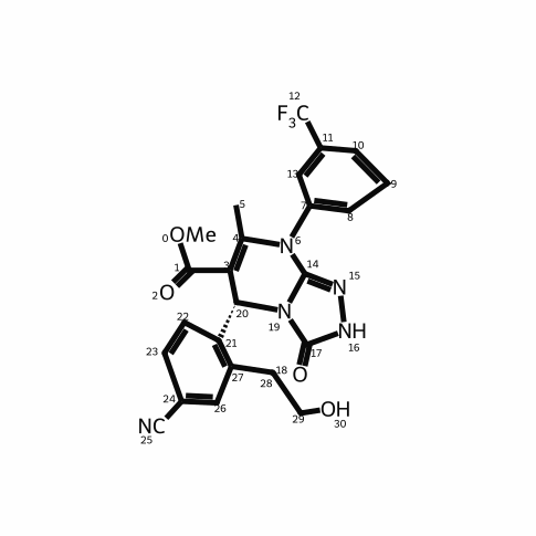 COC(=O)C1=C(C)N(c2cccc(C(F)(F)F)c2)c2n[nH]c(=O)n2[C@@H]1c1ccc(C#N)cc1CCO